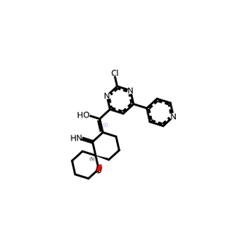 N=C1/C(=C(\O)c2cc(-c3ccncc3)nc(Cl)n2)CCC[C@@]12CCCCC21OCCO1